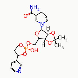 CC1(C)O[C@@H]2[C@H](O1)C(CO[P]1(O)OCCC(c3cccnc3)O1)O[C@H]2N1C=CCC(C(N)=O)=C1